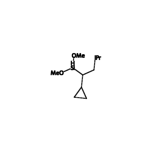 CO[SiH](OC)C(CC(C)C)C1CC1